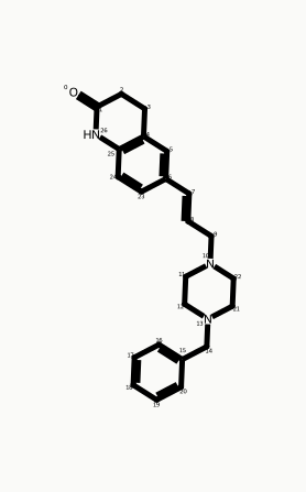 O=C1CCc2cc(C=CCN3CCN(Cc4ccccc4)CC3)ccc2N1